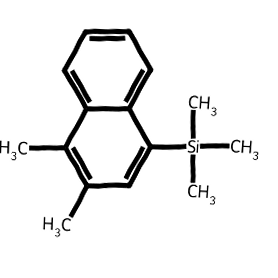 Cc1cc([Si](C)(C)C)c2ccccc2c1C